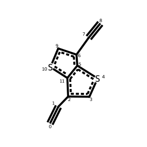 C#Cc1csc2c(C#C)csc12